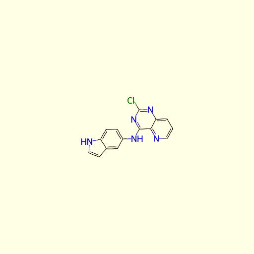 Clc1nc(Nc2ccc3[nH]ccc3c2)c2ncccc2n1